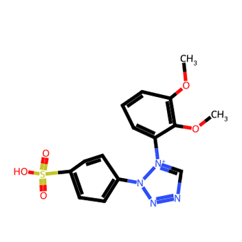 COc1cccc(-[n+]2cnnn2-c2ccc(S(=O)(=O)O)cc2)c1OC